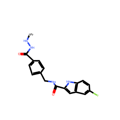 CCCNNC(=O)c1ccc(CNC(=O)c2cc3cc(F)ccc3[nH]2)cc1